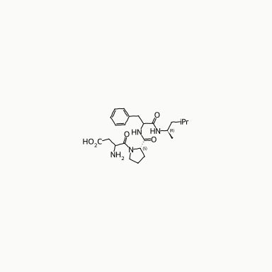 CC(C)C[C@@H](C)NC(=O)C(Cc1ccccc1)NC(=O)[C@@H]1CCCN1C(=O)C(N)CC(=O)O